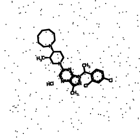 Cc1nn(C(C)c2ccc(Cl)cc2Cl)c2nc(N3CC[C@H](N4CCCCCCC4)[C@H](C)C3)cnc12.Cl